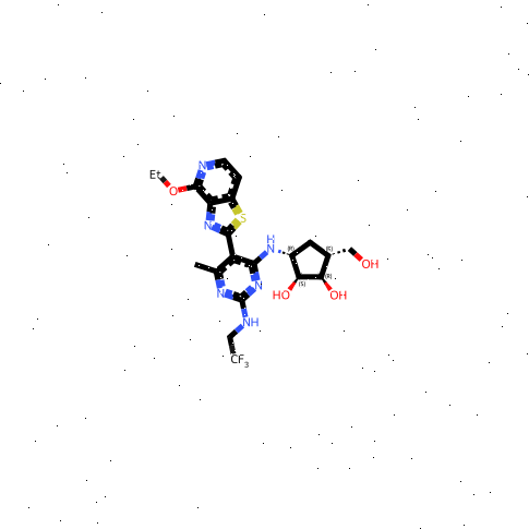 CCOc1nccc2sc(-c3c(C)nc(NCC(F)(F)F)nc3N[C@@H]3C[C@H](CO)[C@@H](O)[C@H]3O)nc12